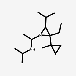 CCC1(C2(C)CC2)C(C(C)C)N1C(C)NC(C)C